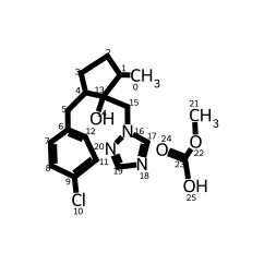 CC1CCC(Cc2ccc(Cl)cc2)C1(O)Cn1cncn1.COC(=O)O